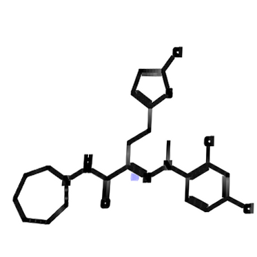 CN(/N=C(\CCc1ccc(Cl)s1)C(=O)NN1CCCCCC1)c1ccc(Cl)cc1Cl